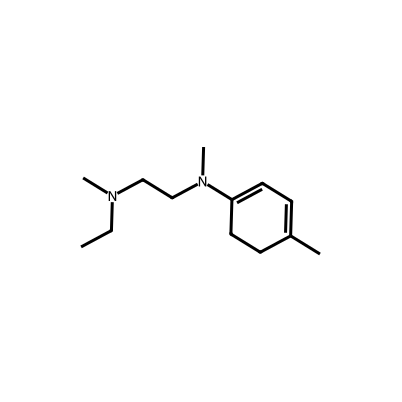 CCN(C)CCN(C)C1=CC=C(C)CC1